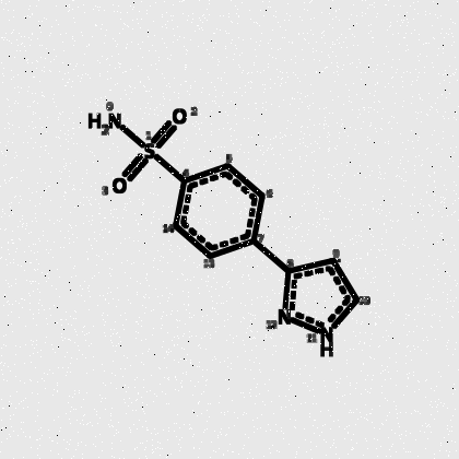 NS(=O)(=O)c1ccc(-c2[c]c[nH]n2)cc1